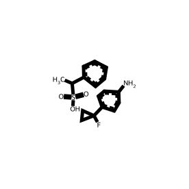 CC(c1ccccc1)S(=O)(=O)O.Nc1ccc(C2(F)CC2)cc1